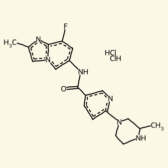 Cc1cn2cc(NC(=O)c3ccc(N4CCNC(C)C4)nc3)cc(F)c2n1.Cl.Cl